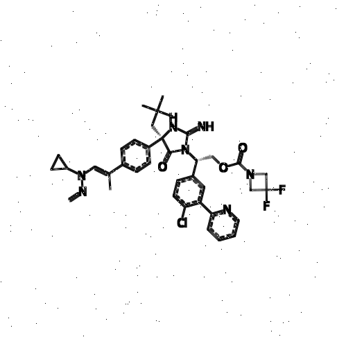 C=NN(/C=C(\C)c1ccc([C@@]2(CC(C)(C)C)NC(=N)N([C@H](COC(=O)N3CC(F)(F)C3)c3ccc(Cl)c(-c4ccccn4)c3)C2=O)cc1)C1CC1